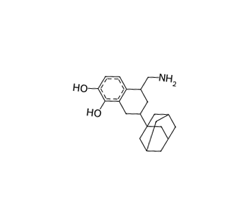 NCC1CC(C23CC4CC(CC(C4)C2)C3)Cc2c1ccc(O)c2O